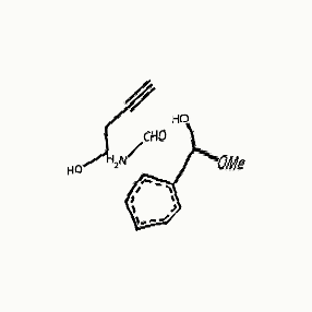 C#CCCO.COC(O)c1ccccc1.NC=O